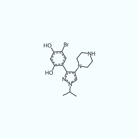 CC(C)n1cc(N2CCNCC2)c(-c2cc(Br)c(O)cc2O)n1